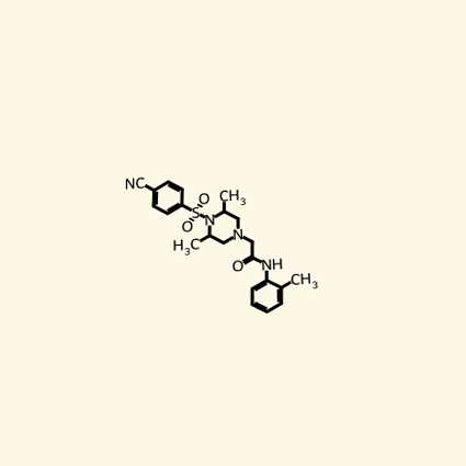 Cc1ccccc1NC(=O)CN1CC(C)N(S(=O)(=O)c2ccc(C#N)cc2)C(C)C1